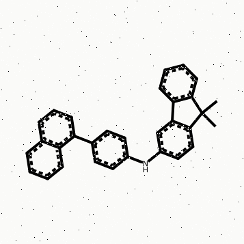 CC1(C)c2ccccc2-c2cc(Nc3ccc(-c4cccc5ccccc45)cc3)ccc21